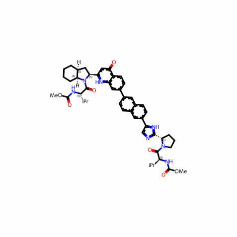 COC(=O)N[C@H](C(=O)N1CCC[C@H]1c1ncc(-c2ccc3cc(-c4ccc5c(=O)cc([C@@H]6C[C@@H]7CCCC[C@@H]7N6C(=O)[C@@H](NC(=O)OC)C(C)C)[nH]c5c4)ccc3c2)[nH]1)C(C)C